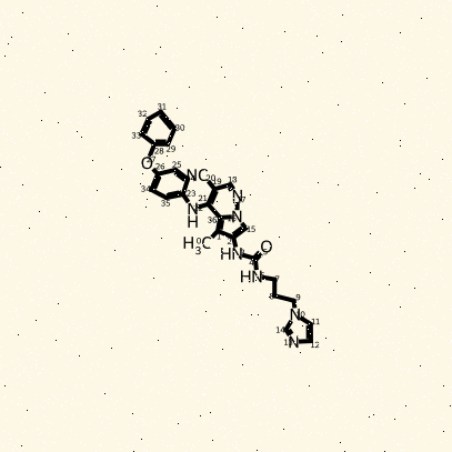 Cc1c(NC(=O)NCCCn2ccnc2)cn2ncc(C#N)c(Nc3ccc(Oc4ccccc4)cc3)c12